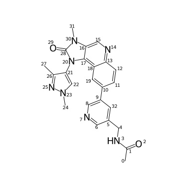 CC(=O)NCc1cncc(-c2ccc3ncc4c(c3c2)n(-c2cn(C)nc2C)c(=O)n4C)c1